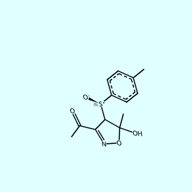 CC(=O)C1=NOC(C)(O)C1[S@@+]([O-])c1ccc(C)cc1